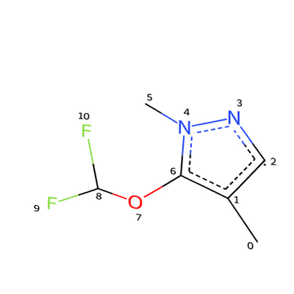 Cc1[c]nn(C)c1OC(F)F